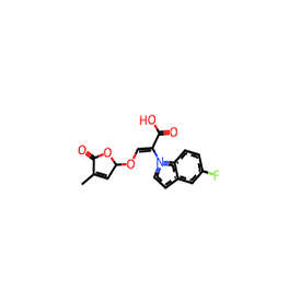 CC1=CC(O/C=C(/C(=O)O)n2ccc3cc(F)ccc32)OC1=O